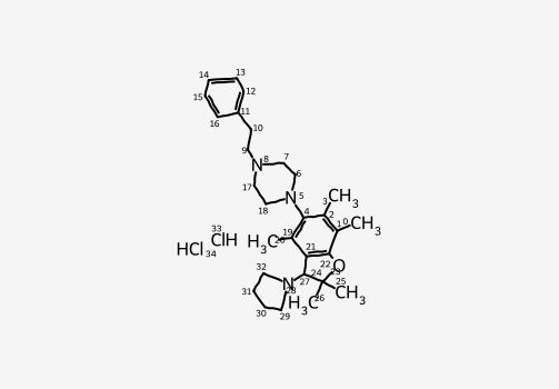 Cc1c(C)c(N2CCN(CCc3ccccc3)CC2)c(C)c2c1OC(C)(C)C2N1CCCC1.Cl.Cl